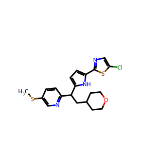 CSc1ccc(C(CC2CCOCC2)c2ccc(-c3ncc(Cl)s3)[nH]2)nc1